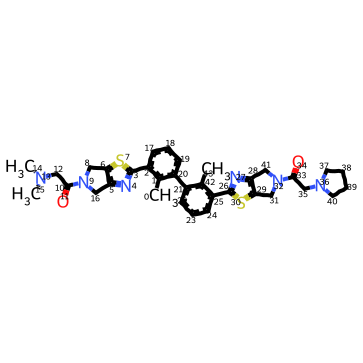 Cc1c(-c2nc3c(s2)CN(C(=O)CN(C)C)C3)cccc1-c1cccc(-c2nc3c(s2)CN(C(=O)CN2CCCC2)C3)c1C